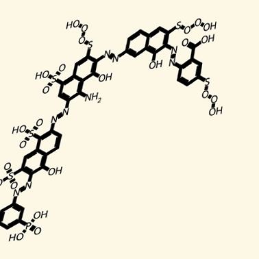 Nc1c(N=Nc2ccc3c(O)c(N=Nc4cccc(P(=O)(O)O)c4)c(S(=O)(=O)O)cc3c2S(=O)(=O)O)cc(S(=O)(=O)O)c2cc(SOOO)c(N=Nc3ccc4cc(SOOO)c(N=Nc5ccc(SOOO)cc5C(=O)O)c(O)c4c3)c(O)c12